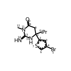 CC(C)C1(c2cc(Br)cs2)CC(=O)N(C)C(=N)N1